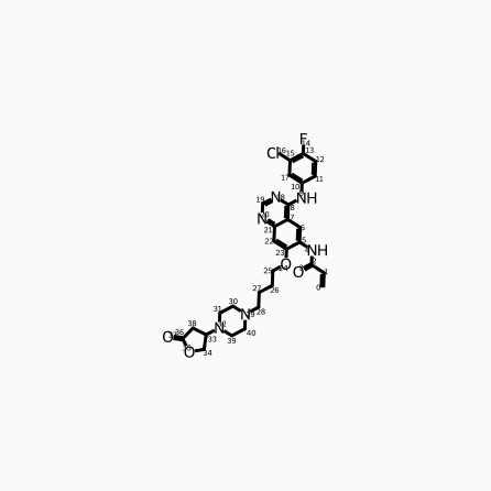 C=CC(=O)Nc1cc2c(Nc3ccc(F)c(Cl)c3)ncnc2cc1OCCCCN1CCN(C2COC(=O)C2)CC1